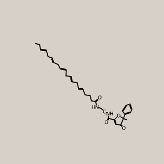 CCC=CCC=CCC=CCC=CCC=CCCCC(=O)NCCNC(=O)C1=CC(=O)C(C)(c2ccccc2)O1